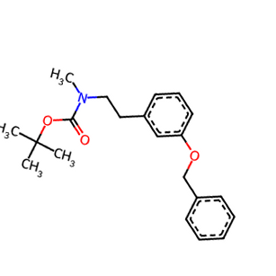 CN(CCc1cccc(OCc2ccccc2)c1)C(=O)OC(C)(C)C